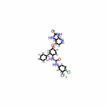 O=C(Nc1ccc(Cl)c(C(F)(F)F)c1)Nc1ccc(Oc2ccnc3[nH]c(=O)[nH]c23)cc1-c1ccccc1